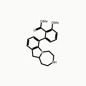 COC(=O)c1c(OC)cccc1-c1cccc2c1N1CCNCCC1C2